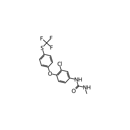 CNC(=O)Nc1ccc(Oc2ccc(SC(F)(F)F)cc2)c(Cl)c1